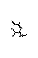 C=C/C=C\C(=N/C)C(C)C